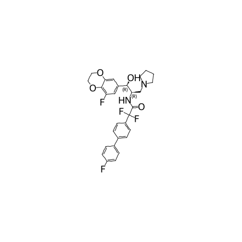 O=C(N[C@H](CN1CCCC1)[C@H](O)c1cc(F)c2c(c1)OCCO2)C(F)(F)c1ccc(-c2ccc(F)cc2)cc1